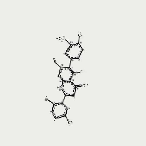 N#Cc1ccc(Cl)c(-c2cc(=O)c3c(F)c(-c4ccc(C(F)(F)F)c(C(=O)O)c4)c(F)cc3[nH]2)c1